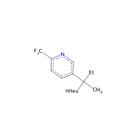 CCCCCCC(C)(CC)c1ccc(C(F)(F)F)nc1